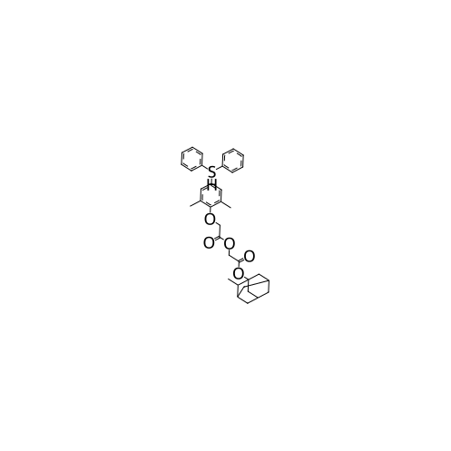 Cc1cc([SH](c2ccccc2)c2ccccc2)cc(C)c1OCC(=O)OCC(=O)OC12CC3CC(CC(C3)C1C)C2